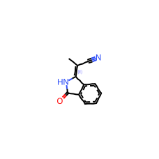 C/C(C#N)=C1\NC(=O)c2ccccc21